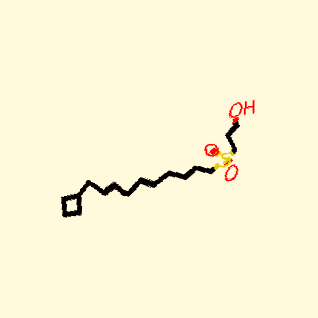 O=S(=O)(CCCO)CCCCCCCCCCC1CCC1